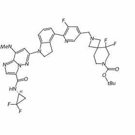 CNc1cc(N2CCc3c(-c4ncc(CN5CC6(CCN(C(=O)OC(C)(C)C)CC6(F)F)C5)cc4F)cccc32)nn2c(C(=O)N[C@@H]3CC3(F)F)cnc12